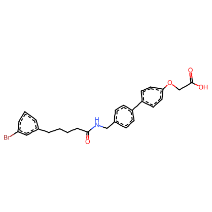 O=C(O)COc1ccc(-c2ccc(CNC(=O)CCCCc3cccc(Br)c3)cc2)cc1